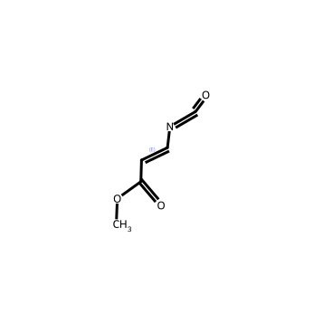 COC(=O)/C=C/N=C=O